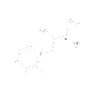 Cc1ccccc1CC(N)C(O)C(=O)O